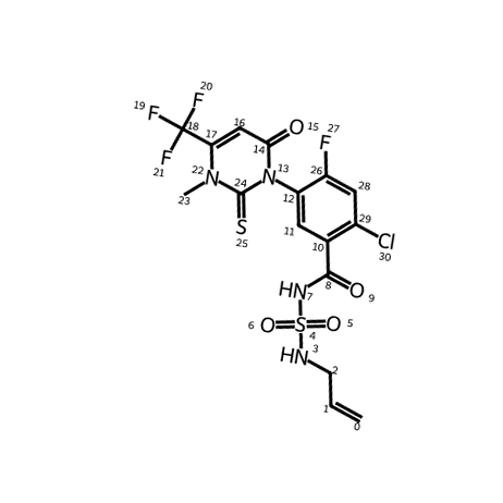 C=CCNS(=O)(=O)NC(=O)c1cc(-n2c(=O)cc(C(F)(F)F)n(C)c2=S)c(F)cc1Cl